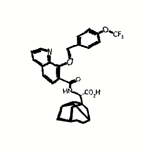 O=C(N[C@H](C(=O)O)C12CC3CC(CC(C3)C1)C2)c1ccc2cccnc2c1OCc1ccc(OC(F)(F)F)cc1